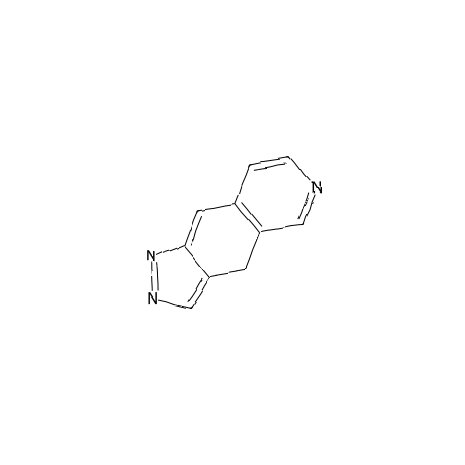 C1=C2Cc3cnccc3C=C2N=N1